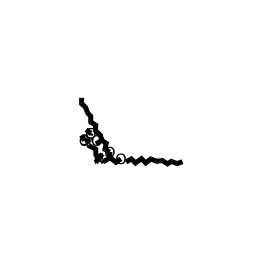 CCCCCCCCCCCCOCC(C[N+](C)(C)CCC[Si](OC)(OC)OC)OCCCCCCCCCCCC